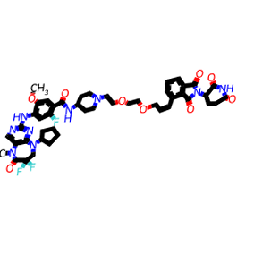 COc1cc(C(=O)NC2CCN(CCOCCOC/C=C\c3cccc4c3C(=O)N(C3CCC(=O)NC3=O)C4=O)CC2)c(F)cc1Nc1ncc2c(n1)N(C1CCCC1)CC(F)(F)C(=O)N2C